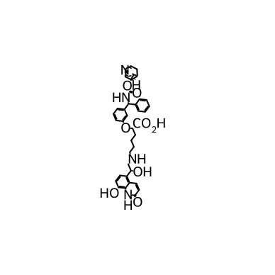 O=C(NC(c1ccccc1)c1cccc(OC(CCCCNC[C@@H](O)c2ccc(O)c3[nH]c(=O)ccc23)C(=O)O)c1)O[C@H]1CN2CCC1CC2